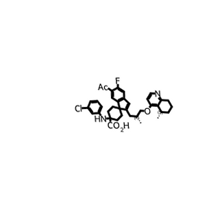 CC(=O)c1cc2c(cc1F)C=C(C[C@@H](C)COc1ccnc3c1[C@@H](C)CCC3)C21CCC(Nc2cccc(Cl)c2)(C(=O)O)CC1